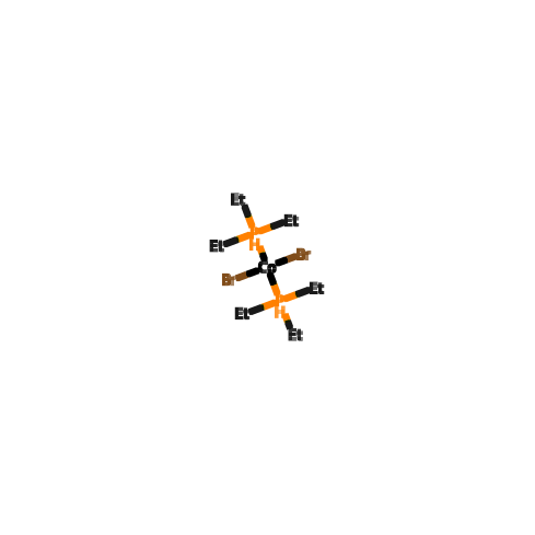 CC[PH](CC)(CC)[Co]([Br])([Br])[PH](CC)(CC)CC